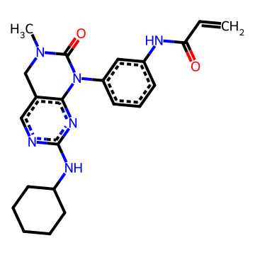 C=CC(=O)Nc1cccc(N2C(=O)N(C)Cc3cnc(NC4CCCCC4)nc32)c1